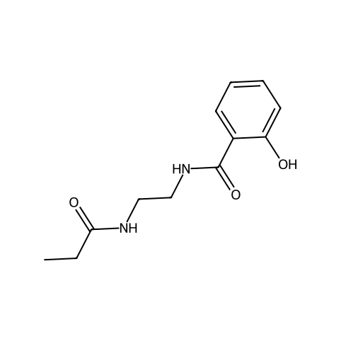 CCC(=O)NCCNC(=O)c1ccccc1O